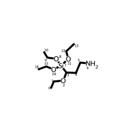 CCOC(CCN)[Si](OCC)(OCC)OCC